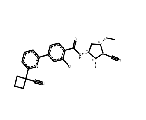 CC[C@H]1C[C@@H](NC(=O)c2ccc(-c3cccc(C4(C#N)CCC4)n3)cc2Cl)[C@@H](C)N1C#N